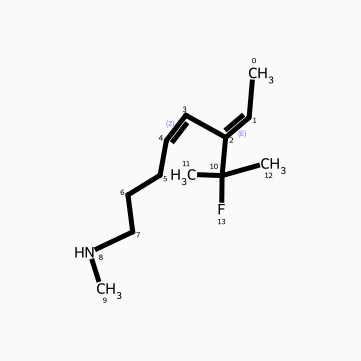 C/C=C(\C=C/CCCNC)C(C)(C)F